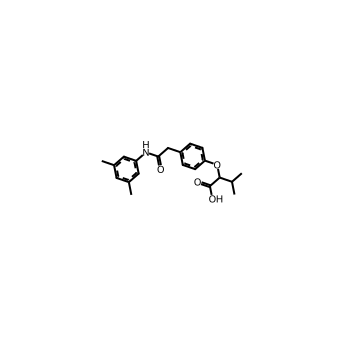 Cc1cc(C)cc(NC(=O)Cc2ccc(OC(C(=O)O)C(C)C)cc2)c1